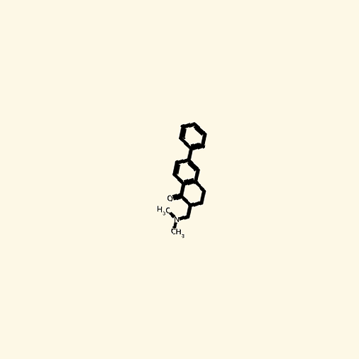 CN(C)CC1CCc2cc(-c3ccccc3)ccc2C1=O